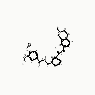 CCOc1ccc(C(=O)NCc2cccc(C(=O)Nc3ccc4c(c3)CN(C)CC4)c2)cc1OCC